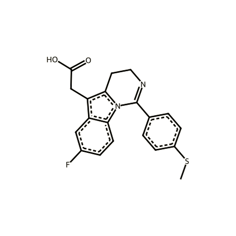 CSc1ccc(C2=NCCc3c(CC(=O)O)c4cc(F)ccc4n32)cc1